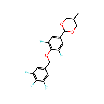 CC1COC(c2cc(F)c(OCc3cc(F)c(F)c(F)c3)c(F)c2)OC1